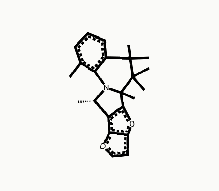 Cc1cccc2c1N1[C@@H](C)c3c(oc4ccoc34)C1(C)C(C)(C)C2(C)C